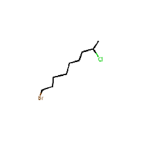 CC(Cl)CCCCCCCBr